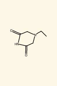 CCN1CC(=O)NC(=O)C1